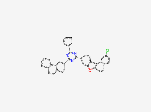 Clc1ccc2ccc3oc4cc(-c5nc(-c6ccccc6)nc(-c6ccc7ccc8ccccc8c7c6)n5)ccc4c3c2c1